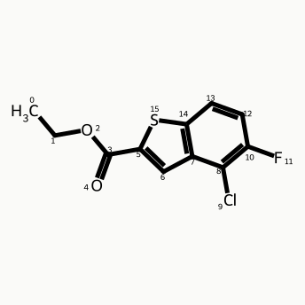 CCOC(=O)c1cc2c(Cl)c(F)ccc2s1